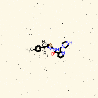 Cc1ccc(C(C)(C)c2csc(NC(=O)c3cccnc3CN3CCNCC3)n2)cc1